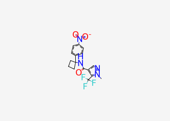 Cn1ncc(C(=O)NC2(c3ccc([N+](=O)[O-])cc3)CCC2)c1C(F)(F)F